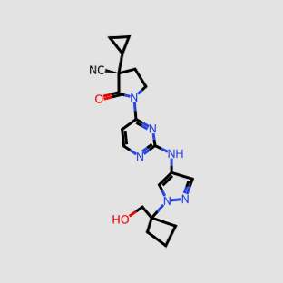 N#C[C@@]1(C2CC2)CCN(c2ccnc(Nc3cnn(C4(CO)CCC4)c3)n2)C1=O